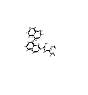 NC(N)=NC(=O)c1ccc2cccc(-c3ccnc4ccccc34)c2c1